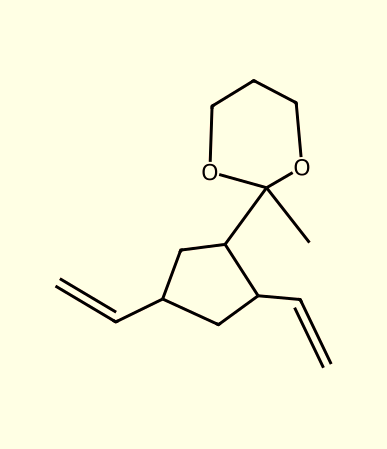 C=CC1CC(C=C)C(C2(C)OCCCO2)C1